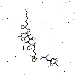 CCCCCCC(=O)O[C@@H](CC(C)=O)C(C)(C)C(=O)[C@H](C)[C@@H](O)[C@@H](C)CCC[C@@]1(C)O[C@H]1C[C@H](C)/C(C)=C/c1csc(C)n1